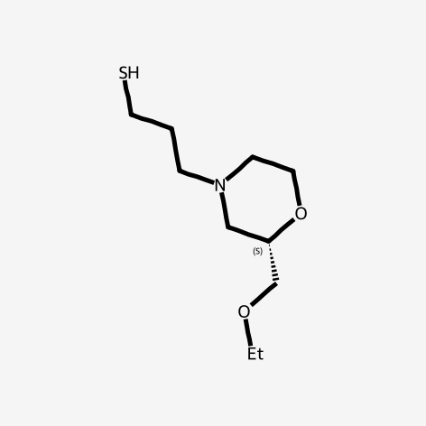 CCOC[C@@H]1CN(CCCS)CCO1